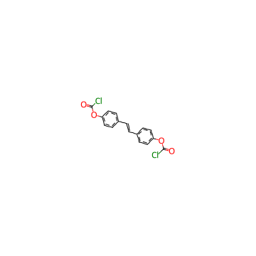 O=C(Cl)Oc1ccc(C=Cc2ccc(OC(=O)Cl)cc2)cc1